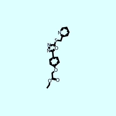 CCOC(=O)COc1ccc(-c2nnc(SCc3ccccn3)o2)cc1